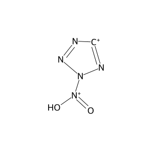 O=[N+](O)N1N=[C+]N=N1